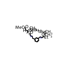 CC[C@H](/C=C/c1cccc(C/C=C/[C@H](CCCC(=O)OC)O[Si](C)(C)C(C)(C)C)c1)O[Si](C)(C)C(C)(C)C